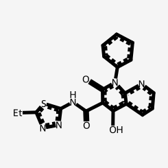 CCc1nnc(NC(=O)c2c(O)c3cccnc3n(-c3ccccc3)c2=O)s1